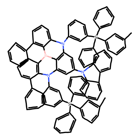 Cc1cccc([Si](c2ccccc2)(c2ccccc2)c2cccc(N3c4cccc(-c5ccccc5)c4B4c5cccc(-c6ccccc6)c5N(c5cccc([Si](c6ccccc6)(c6ccccc6)c6cccc(C)c6)c5)c5cc(-n6c7ccccc7c7ccccc76)cc3c54)c2)c1